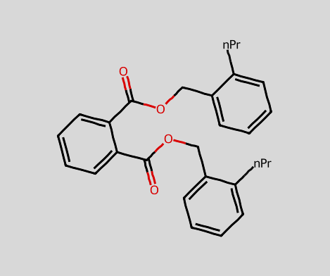 CCCc1ccccc1COC(=O)c1ccccc1C(=O)OCc1ccccc1CCC